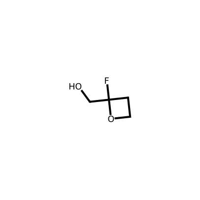 OCC1(F)CCO1